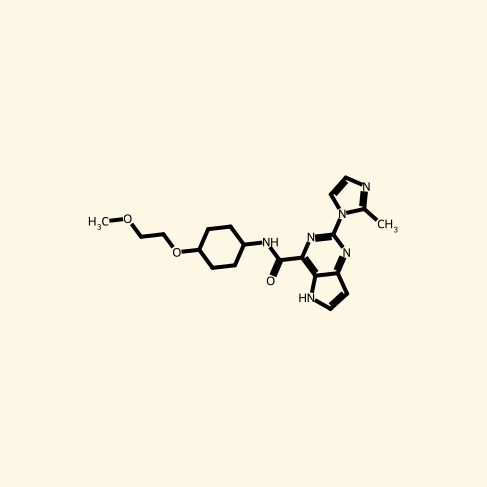 COCCOC1CCC(NC(=O)c2nc(-n3ccnc3C)nc3cc[nH]c23)CC1